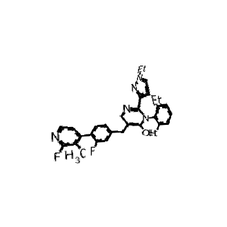 CCc1cccc(CC)c1N1C(c2ccn(CC)n2)=NCC(Cc2ccc(-c3ccnc(F)c3C)c(F)c2)=C1O